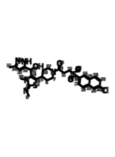 C/N=c1\sc(C2CCN(C(=O)CCS(=O)(=O)c3ccc4cc(Cl)ccc4c3)CC2)c(C(O)c2cc(C)n[nH]2)n1C